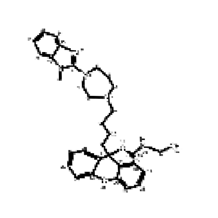 Cn1c(N2CCCN(CCCCC3(OC(=O)NCC(F)(F)F)c4ccccc4Oc4ccccc43)CC2)nc2ccccc21